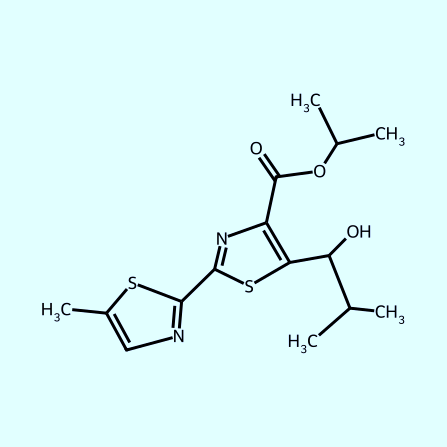 Cc1cnc(-c2nc(C(=O)OC(C)C)c(C(O)C(C)C)s2)s1